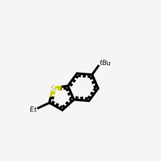 CCc1cc2ccc(C(C)(C)C)cc2s1